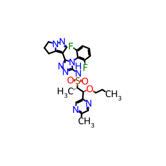 CCCO[C@@H](c1cnc(C)cn1)[C@H](C)S(=O)(=O)Nc1nnc(-c2cnn3c2CCC3)n1-c1c(F)cccc1F